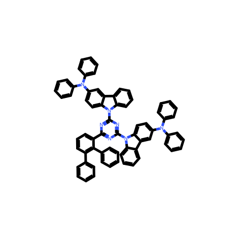 c1ccc(-c2cccc(-c3nc(-n4c5ccccc5c5cc(N(c6ccccc6)c6ccccc6)ccc54)nc(-n4c5ccccc5c5cc(N(c6ccccc6)c6ccccc6)ccc54)n3)c2-c2ccccc2)cc1